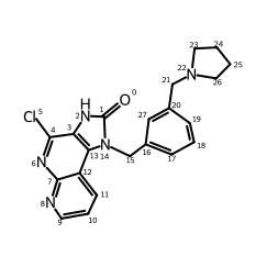 O=c1[nH]c2c(Cl)nc3ncccc3c2n1Cc1cccc(CN2CCCC2)c1